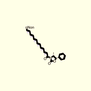 CCCCCCCCC/C=C/C=C/C=C/C=C/C=C/C=C/C(=O)N1C(=O)O[C@@H](c2ccccc2)[C@H]1C